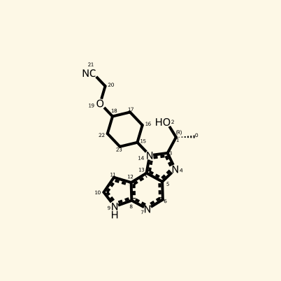 C[C@@H](O)c1nc2cnc3[nH]ccc3c2n1C1CCC(OCC#N)CC1